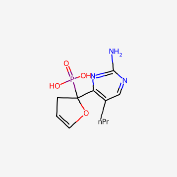 CCCc1cnc(N)nc1C1(P(=O)(O)O)CC=CO1